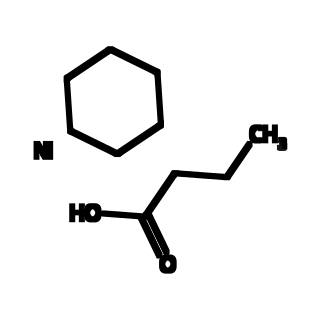 C1CCCCC1.CCCC(=O)O.[Ni]